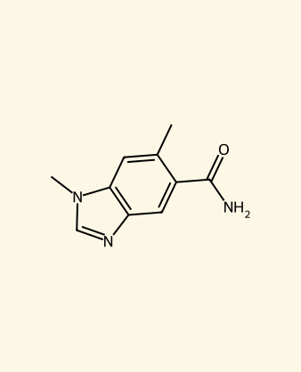 Cc1cc2c(cc1C(N)=O)ncn2C